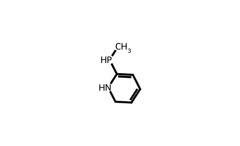 CPC1=CC=CCN1